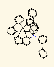 c1ccc(-c2ccc(N(c3cccc(-c4ccccc4)c3)c3ccc4cccc5c4c3C34c6cccc7cccc(c67)C36c3ccccc3-c3ccccc3C564)cc2)cc1